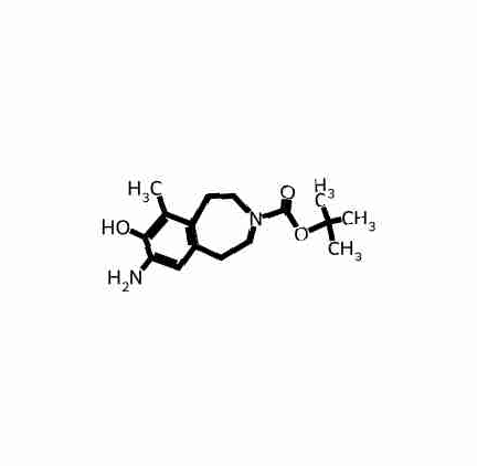 Cc1c(O)c(N)cc2c1CCN(C(=O)OC(C)(C)C)CC2